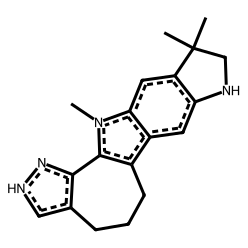 Cn1c2c(c3cc4c(cc31)C(C)(C)CN4)CCCc1c[nH]nc1-2